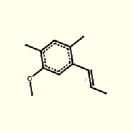 C/C=C/c1cc(OC)c(C)cc1C